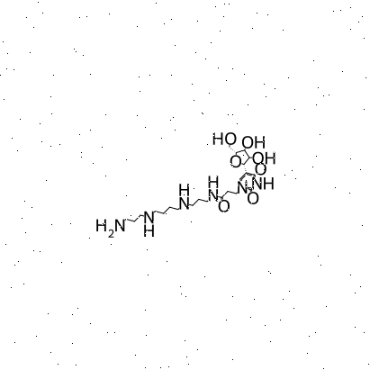 NCCCNCCCCNCCCNC(=O)CCn1cc([C@@H]2O[C@H](CO)C(O)C2O)c(=O)[nH]c1=O